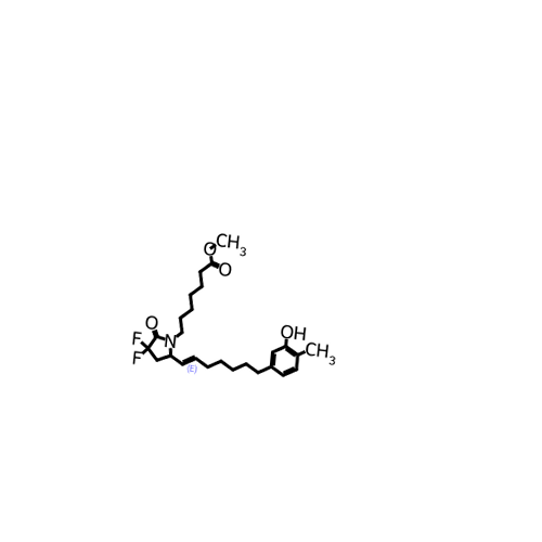 COC(=O)CCCCCCN1C(=O)C(F)(F)CC1/C=C/CCCCCc1ccc(C)c(O)c1